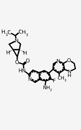 Cc1c(-c2cc3cc(NC(=O)OC4[C@H]5CN(C(C)C)C[C@@H]45)ncc3c(N)c2F)cnc2c1NCCO2